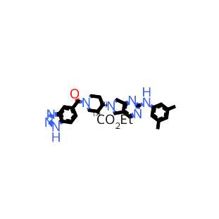 CCOC(=O)[C@H]1CN(C(=O)c2ccc3[nH]nnc3c2)CC[C@H]1N1Cc2cnc(Nc3cc(C)cc(C)c3)nc2C1